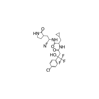 N#CC(CC1CCNC1=O)NC(=O)C(CC1CC1)NC(=O)CC(O)(c1ccc(Cl)cc1)C(F)(F)F